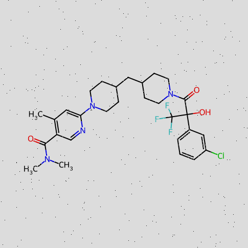 Cc1cc(N2CCC(CC3CCN(C(=O)C(O)(c4cccc(Cl)c4)C(F)(F)F)CC3)CC2)ncc1C(=O)N(C)C